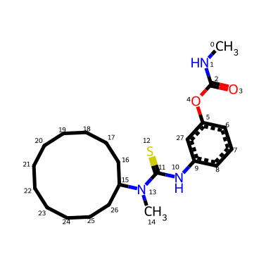 CNC(=O)Oc1cccc(NC(=S)N(C)C2CCCCCCCCCCC2)c1